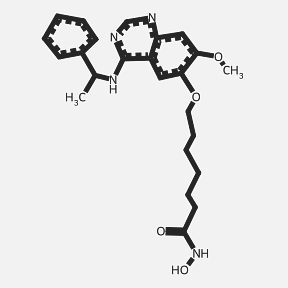 COc1cc2ncnc(NC(C)c3ccccc3)c2cc1OCCCCCCC(=O)NO